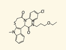 CCOCCCNC(=O)C1c2c(n(C)c3ccccc23)SCC(=O)N1c1ccc(Cl)cc1